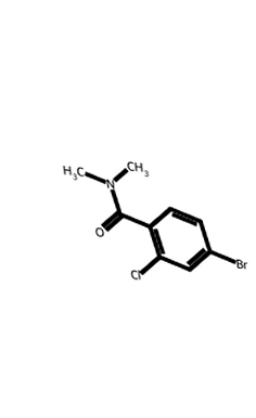 CN(C)C(=O)c1ccc(Br)cc1Cl